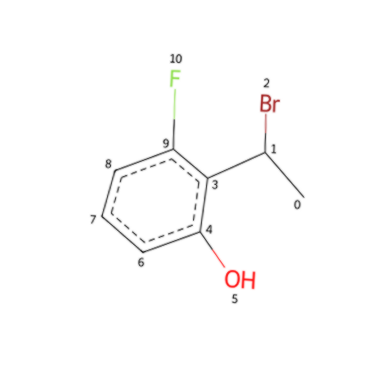 CC(Br)c1c(O)cccc1F